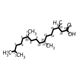 CC(C)CCC[C@@H](C)CCC[C@@H](C)CCCC(C)CC(=O)O